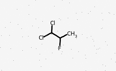 CC(F)[C](Cl)Cl